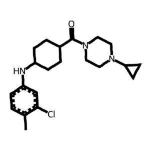 Cc1ccc(NC2CCC(C(=O)N3CCN(C4CC4)CC3)CC2)cc1Cl